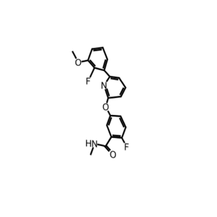 CNC(=O)c1cc(Oc2cccc(-c3cccc(OC)c3F)n2)ccc1F